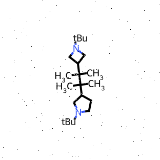 CC(C)(C)N1CCC(C(C)(C)C(C)(C)C2CN(C(C)(C)C)C2)C1